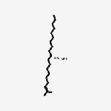 Br.Br.CCCCCCCCCCCCCCCCC=C(C)C